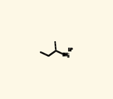 [BH3-]C(C)CC.[Li+]